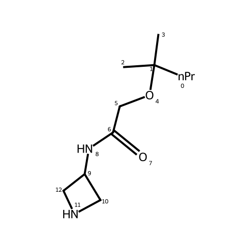 CCCC(C)(C)OCC(=O)NC1CNC1